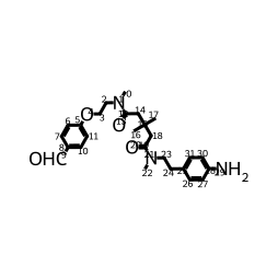 CN(CCOc1ccc(C=O)cc1)C(=O)CC(C)(C)CC(=O)N(C)CCc1ccc(N)cc1